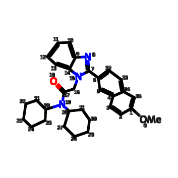 COc1ccc2cc(-c3nc4ccccc4n3CC(=O)N(C3CCCCC3)C3CCCCC3)ccc2c1